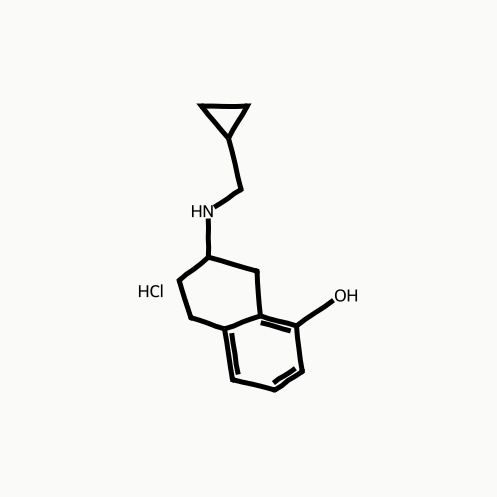 Cl.Oc1cccc2c1CC(NCC1CC1)CC2